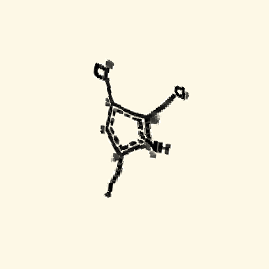 Clc1cc(I)[nH]c1Cl